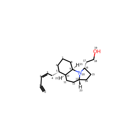 C#C/C=C\C[C@@H]1CCC[C@@H]2[C@H]1CC[C@H]1CC[C@@H](CCO)N12